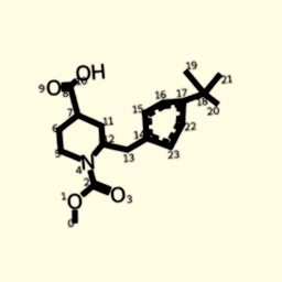 COC(=O)N1CCC(C(=O)O)CC1Cc1ccc(C(C)(C)C)cc1